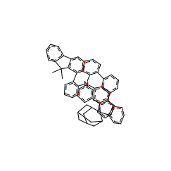 CC1(C)c2ccccc2-c2cccc(-c3ccccc3N(c3ccc4c(c3)C3(c5ccccc5-4)C4CC5CC(C4)CC3C5)c3ccccc3-c3cccc(-c4ccccc4-c4ccccc4)c3)c21